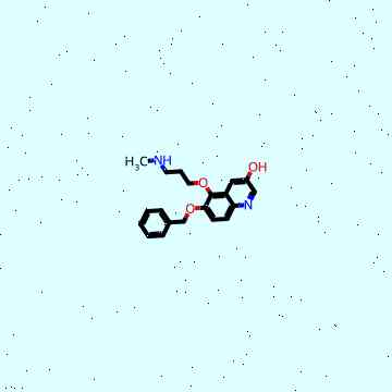 CNCCCOc1c(OCc2ccccc2)ccc2ncc(O)cc12